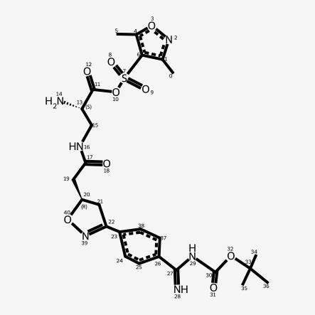 Cc1noc(C)c1S(=O)(=O)OC(=O)[C@@H](N)CNC(=O)C[C@H]1CC(c2ccc(C(=N)NC(=O)OC(C)(C)C)cc2)=NO1